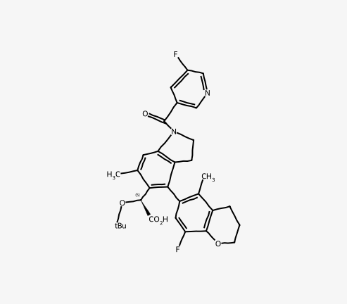 Cc1cc2c(c(-c3cc(F)c4c(c3C)CCCO4)c1[C@H](OC(C)(C)C)C(=O)O)CCN2C(=O)c1cncc(F)c1